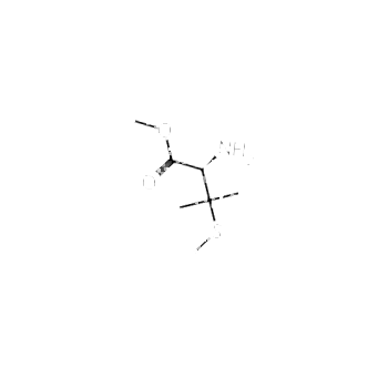 COC(=O)[C@@H](N)C(C)(C)SC